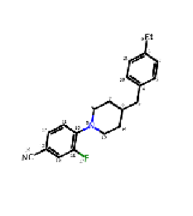 CCc1ccc(CC2CCN(c3ccc(C#N)cc3F)CC2)cc1